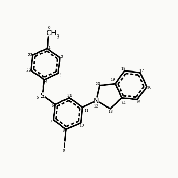 Cc1ccc(Sc2cc(I)cc(N3Cc4ccccc4C3)c2)cc1